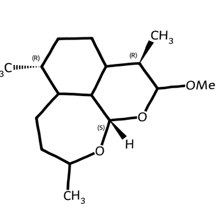 COC1O[C@@H]2OC(C)CCC3C2C(CC[C@H]3C)[C@H]1C